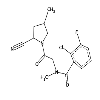 CC1CC(C#N)N(C(=O)CN(C)C(=O)c2cccc(F)c2Cl)C1